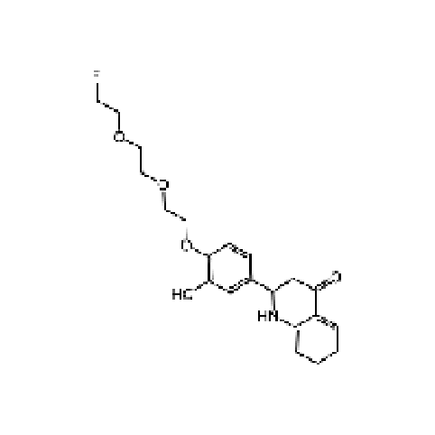 O=C1CC(c2ccc(OCCOCCOCCF)c(O)c2)NC2=CCCC=C12